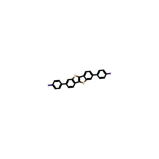 Ic1ccc(-c2ccc3c(c2)sc2c4ccc(-c5ccc(I)cc5)cc4sc32)cc1